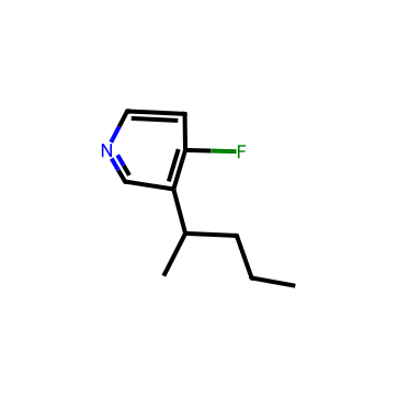 CCCC(C)c1cnccc1F